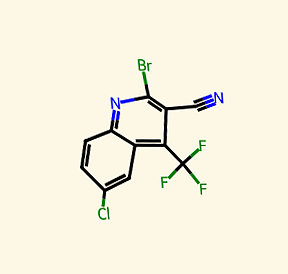 N#Cc1c(Br)nc2ccc(Cl)cc2c1C(F)(F)F